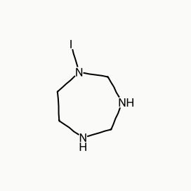 IN1CCNCNC1